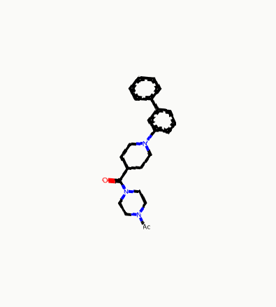 CC(=O)N1CCN(C(=O)C2CCN(c3cccc(-c4ccccc4)c3)CC2)CC1